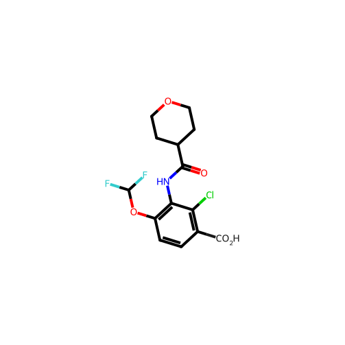 O=C(O)c1ccc(OC(F)F)c(NC(=O)C2CCOCC2)c1Cl